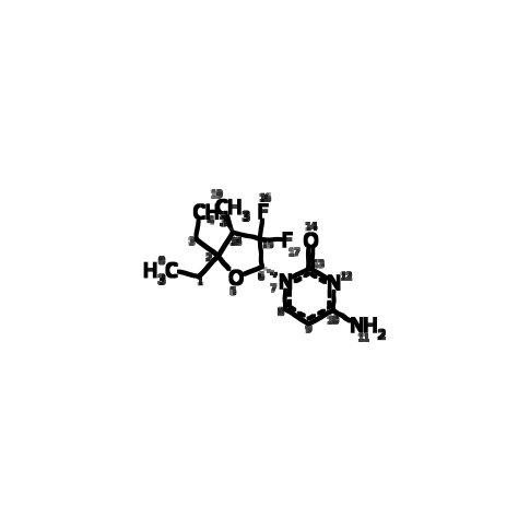 CCC1(CC)O[C@@H](n2ccc(N)nc2=O)C(F)(F)[C@@H]1C